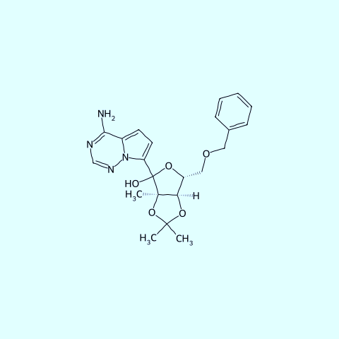 CC1(C)O[C@@H]2[C@@H](COCc3ccccc3)OC(O)(c3ccc4c(N)ncnn34)[C@]2(C)O1